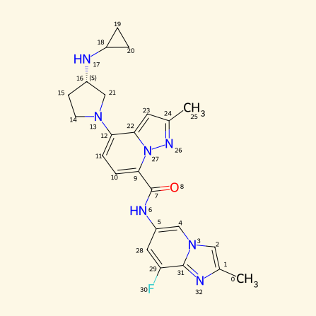 Cc1cn2cc(NC(=O)c3ccc(N4CC[C@H](NC5CC5)C4)c4cc(C)nn34)cc(F)c2n1